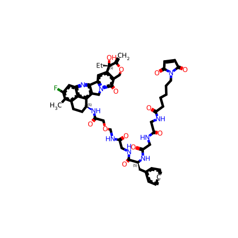 C=C1OCc2c(cc3n(c2=O)Cc2c-3nc3cc(F)c(C)c4c3c2[C@@H](NC(=O)COCNC(=O)CNC(=O)[C@H](Cc2ccccc2)NC(=O)CNC(=O)CNC(=O)CCCCCN2C(=O)C=CC2=O)CC4)[C@@]1(O)CC